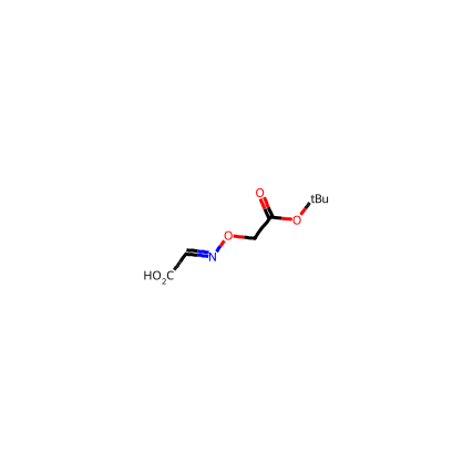 CC(C)(C)OC(=O)CON=CC(=O)O